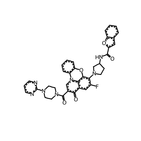 O=C(NC1CCN(c2c(F)cc3c(=O)c(C(=O)N4CCN(c5ncccn5)CC4)cn4c3c2Oc2ccccc2-4)C1)c1cc2ccccc2o1